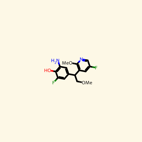 COCC(c1cc(N)c(O)c(F)c1)c1cc(F)cnc1OC